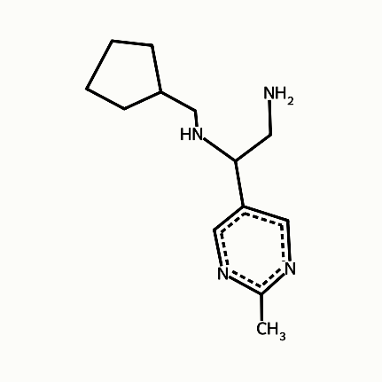 Cc1ncc(C(CN)NCC2CCCC2)cn1